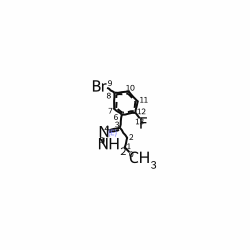 CCC/C(=N\N)c1cc(Br)ccc1F